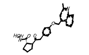 Cc1cc(COc2ccc(CC(=O)C3CCC[C@@H]3C(=O)NO)cc2)c2ccccc2n1